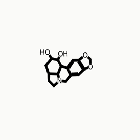 OC1CC2CCN3Cc4cc5c(cc4C(C1O)C23)OCO5